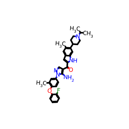 Cc1cc(-n2ncc(C(=O)c3cc4cc(C)c(C5CCN(C(C)C)CC5)cc4[nH]3)c2N)ccc1Oc1ccccc1F